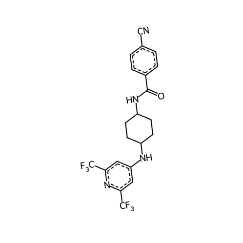 N#Cc1ccc(C(=O)NC2CCC(Nc3cc(C(F)(F)F)nc(C(F)(F)F)c3)CC2)cc1